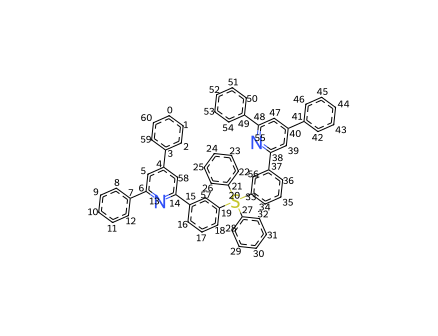 c1ccc(-c2cc(-c3ccccc3)nc(-c3cccc(S(c4ccccc4)(c4ccccc4)c4cccc(-c5cc(-c6ccccc6)cc(-c6ccccc6)n5)c4)c3)c2)cc1